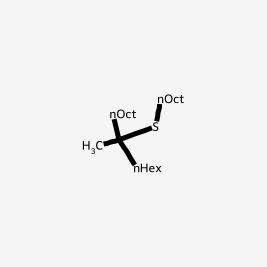 CCCCCCCCSC(C)(CCCCCC)CCCCCCCC